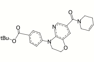 CC(C)(C)OC(=O)c1ccc(N2CCOc3cc(C(=O)N4CC=CCC4)cnc32)cc1